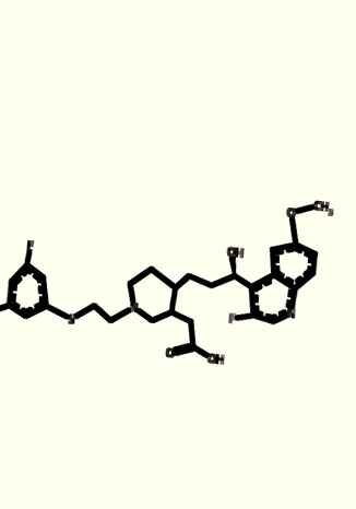 COc1ccc2ncc(F)c([C@H](O)CCC3CCN(CCSc4cc(F)cc(F)c4)CC3CC(=O)O)c2c1